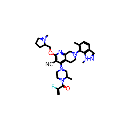 C=C(F)C(=O)N1CCN(c2c(C#N)c(OCC3CCCN3C)nc3c2CCN(c2c(C)ccc4cnn(C)c24)C3)CC1C